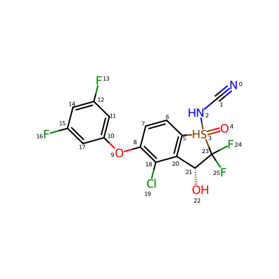 N#CN[SH]1(=O)c2ccc(Oc3cc(F)cc(F)c3)c(Cl)c2[C@@H](O)C1(F)F